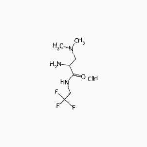 CN(C)CC(N)C(=O)NCC(F)(F)F.Cl